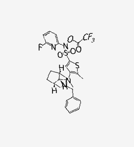 Cc1sc(S(=O)(=O)N(OC(=O)C(F)(F)F)c2cccc(F)n2)cc1N(C)[C@H]1[C@@H]2CC[C@H]1CN(Cc1ccccc1)C2